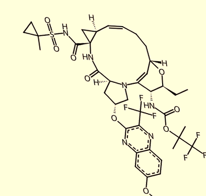 CC[C@@H]1O[C@@H]2C=C([C@H]1NC(=O)OC(C)(C)C(F)(F)F)N1C[C@H](Oc3nc4cc(OC)ccc4nc3C(F)(F)F)C[C@H]1C(=O)N[C@]1(C(=O)NS(=O)(=O)C3(C)CC3)C[C@H]1/C=C\CC2